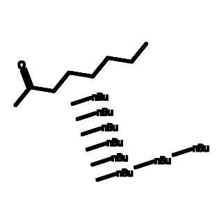 CCCCC.CCCCC.CCCCC.CCCCC.CCCCC.CCCCC.CCCCC.CCCCC.CCCCCCC(C)=O